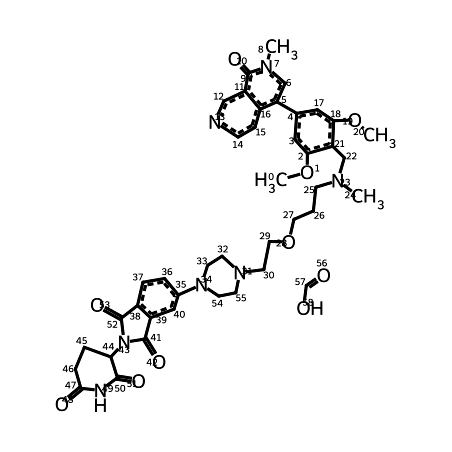 COc1cc(-c2cn(C)c(=O)c3cnccc23)cc(OC)c1CN(C)CCCOCCN1CCN(c2ccc3c(c2)C(=O)N(C2CCC(=O)NC2=O)C3=O)CC1.O=CO